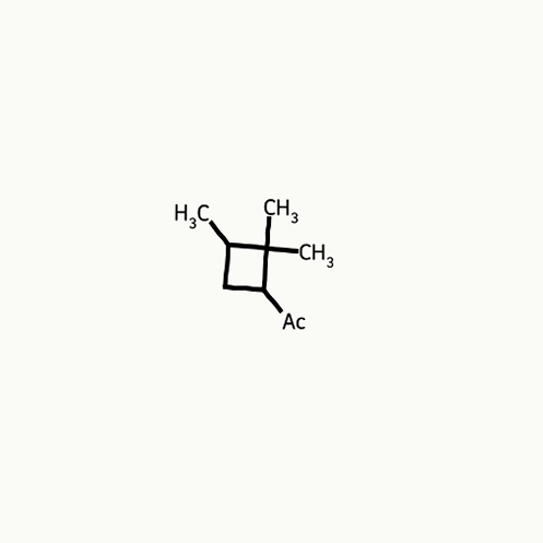 CC(=O)C1CC(C)C1(C)C